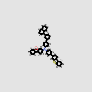 c1cc(-c2ccc(N(c3ccc(-c4ccc5c(c4)sc4ccccc45)cc3)c3ccc4c(c3)oc3ccccc34)cc2)cc(-c2cccc3ccccc23)c1